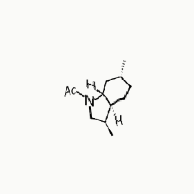 CC(=O)N1C[C@H](C)[C@@H]2CC[C@@H](C)C[C@H]21